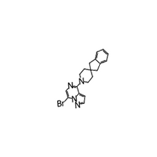 Brc1cnc(N2CCC3(CC2)Cc2ccccc2C3)c2ccnn12